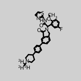 [2H]C([2H])([2H])N1CCC(c2ccc(-c3ccc4c(c3)C(=O)N(C(C(=O)Nc3nccs3)c3cc(F)ccc3OC)C4)cc2)CC1